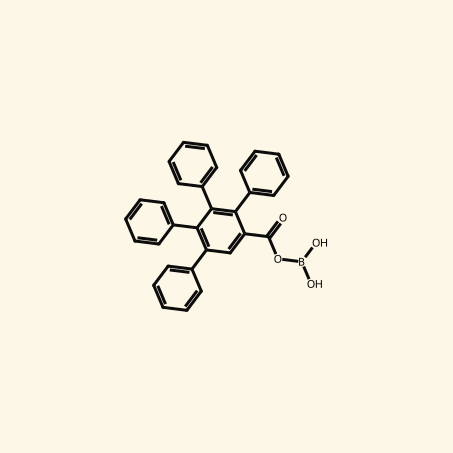 O=C(OB(O)O)c1cc(-c2ccccc2)c(-c2ccccc2)c(-c2ccccc2)c1-c1ccccc1